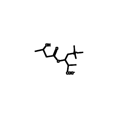 CC(O)CC(=O)OC(C[N+](C)(C)C)C(C)C(=O)[O-]